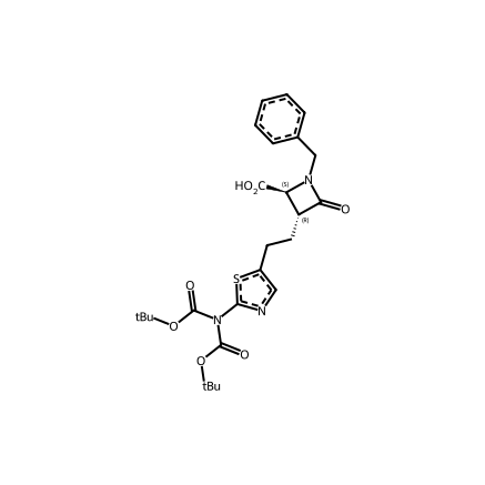 CC(C)(C)OC(=O)N(C(=O)OC(C)(C)C)c1ncc(CC[C@H]2C(=O)N(Cc3ccccc3)[C@@H]2C(=O)O)s1